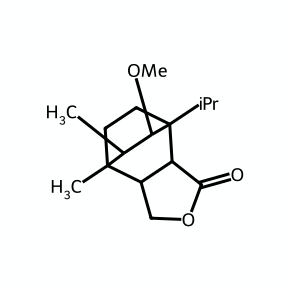 COC1C(C)C2(C)CCC1(C(C)C)C1C(=O)OCC12